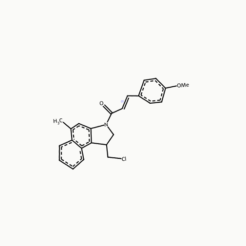 COc1ccc(/C=C/C(=O)N2CC(CCl)c3c2cc(C)c2ccccc32)cc1